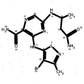 Cc1nsc(Nc2nc(NC(C)CC(N)=O)cnc2C(N)=O)c1Br